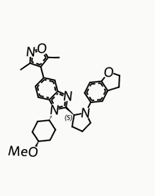 CO[C@H]1CC[C@H](n2c([C@@H]3CCCN3c3ccc4c(c3)CCO4)nc3cc(-c4c(C)noc4C)ccc32)CC1